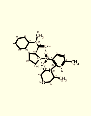 Cc1ccc(S(=O)(=O)N2CCC[C@H]2C(=O)N(C)C2CCCCC2)c(N2[C@@H](C)COC[C@@H]2C)n1